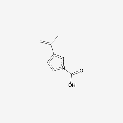 C=C(C)c1ccn(C(=O)O)c1